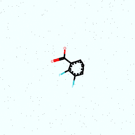 [O]C(=O)c1cccc(F)c1F